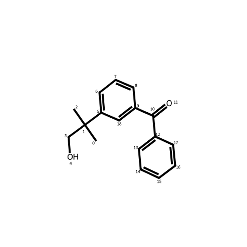 CC(C)(CO)c1cccc(C(=O)c2ccccc2)c1